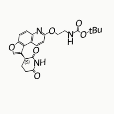 CC(C)(C)OC(=O)NCCOc1ccc2c(ccc3occ([C@@H]4CCC(=O)NC4=O)c32)n1